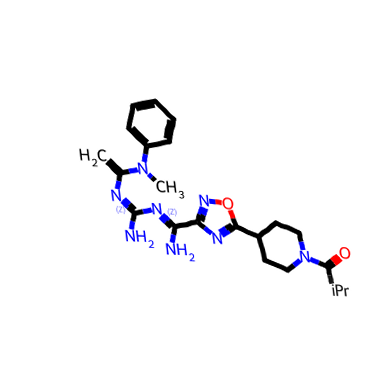 C=C(/N=C(N)\N=C(/N)c1noc(C2CCN(C(=O)C(C)C)CC2)n1)N(C)c1ccccc1